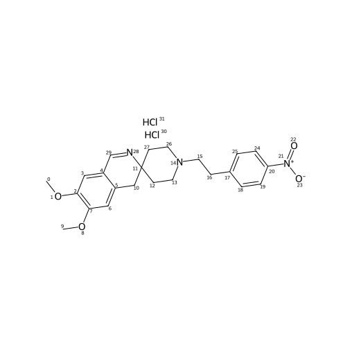 COc1cc2c(cc1OC)CC1(CCN(CCc3ccc([N+](=O)[O-])cc3)CC1)N=C2.Cl.Cl